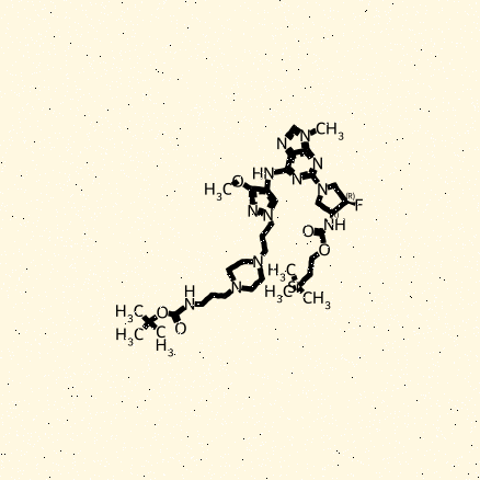 COc1nn(CCCN2CCN(CCCNC(=O)OC(C)(C)C)CC2)cc1Nc1nc(N2C[C@@H](F)[C@H](NC(=O)OCC[Si](C)(C)C)C2)nc2c1ncn2C